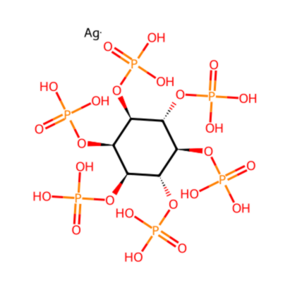 O=P(O)(O)O[C@H]1[C@H](OP(=O)(O)O)[C@@H](OP(=O)(O)O)[C@H](OP(=O)(O)O)[C@@H](OP(=O)(O)O)[C@H]1OP(=O)(O)O.[Ag]